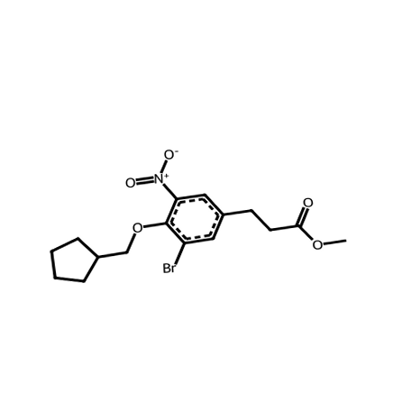 COC(=O)CCc1cc(Br)c(OCC2CCCC2)c([N+](=O)[O-])c1